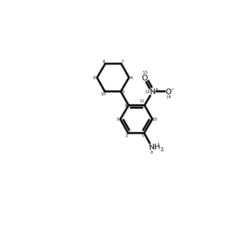 Nc1ccc(C2CCCCC2)c([N+](=O)[O-])c1